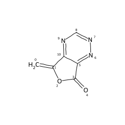 C=C1OC(=O)c2nncnc21